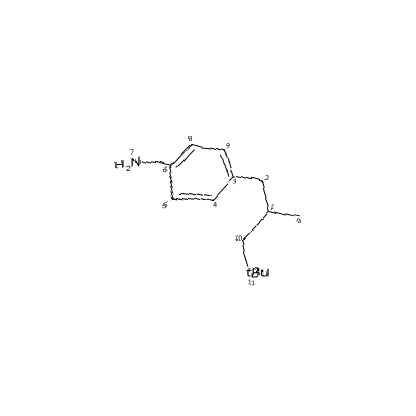 CC(Cc1ccc(N)cc1)CC(C)(C)C